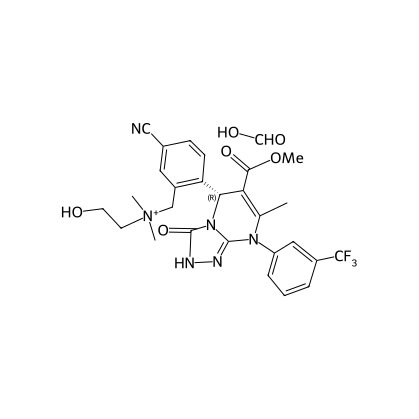 COC(=O)C1=C(C)N(c2cccc(C(F)(F)F)c2)c2n[nH]c(=O)n2[C@@H]1c1ccc(C#N)cc1C[N+](C)(C)CCO.O=CO